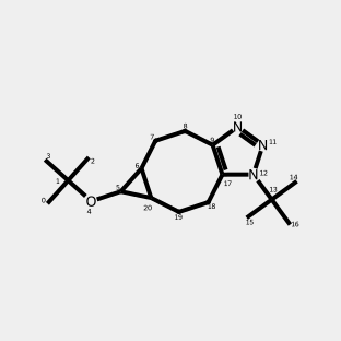 CC(C)(C)OC1C2CCc3nnn(C(C)(C)C)c3CCC21